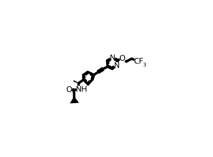 C[C@H](NC(=O)C1CC1)c1ccc(C#Cc2cnc(OCCC(F)(F)F)nc2)cc1